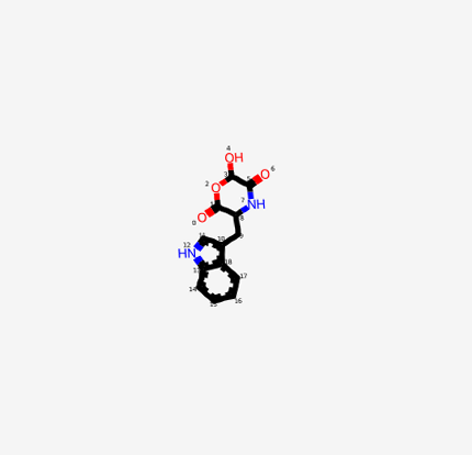 O=C1OC(O)C(=O)NC1Cc1c[nH]c2ccccc12